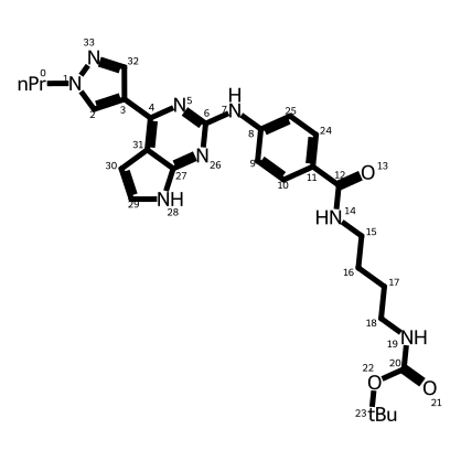 CCCn1cc(-c2nc(Nc3ccc(C(=O)NCCCCNC(=O)OC(C)(C)C)cc3)nc3[nH]ccc23)cn1